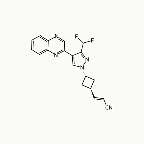 N#C/C=C/[C@H]1C[C@H](n2cc(-c3cnc4ccccc4n3)c(C(F)F)n2)C1